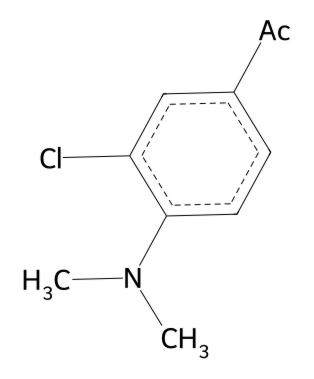 CC(=O)c1ccc(N(C)C)c(Cl)c1